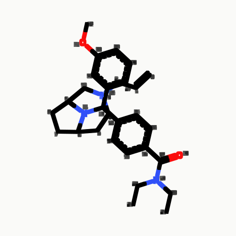 C=CCN1CCC2CCC(C1)N2C(c1ccc(C(=O)N(CC)CC)cc1)c1cccc(OC)c1